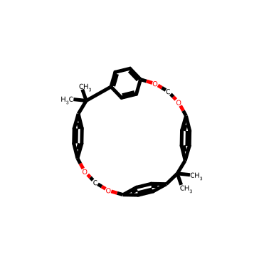 CC1(C)c2ccc(cc2)OCOc2ccc(cc2)C(C)(C)c2ccc(cc2)OCOc2ccc1cc2